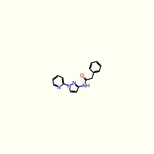 O=C(Cc1ccccc1)Nc1ccn(-c2ccccn2)n1